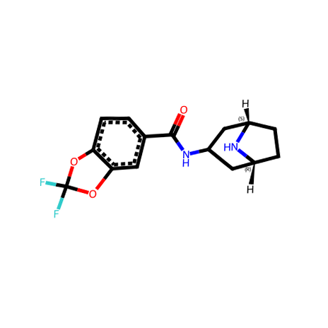 O=C(NC1C[C@H]2CC[C@@H](C1)N2)c1ccc2c(c1)OC(F)(F)O2